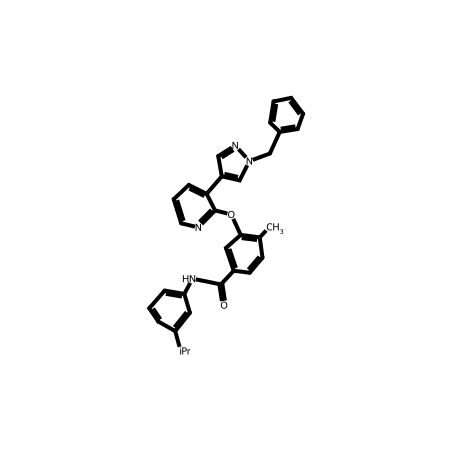 Cc1ccc(C(=O)Nc2cccc(C(C)C)c2)cc1Oc1ncccc1-c1cnn(Cc2ccccc2)c1